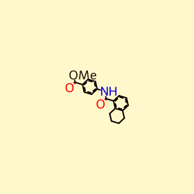 COC(=O)c1ccc(NC(=O)c2cccc3c2CCCC3)cc1